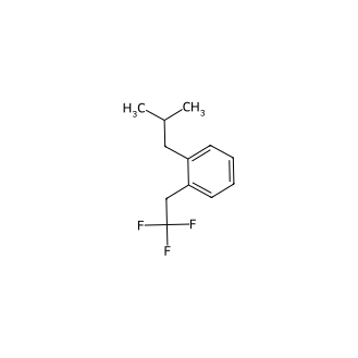 CC(C)Cc1ccccc1CC(F)(F)F